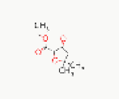 CCOC(=O)C1OC(C)(C)CC1=O